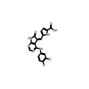 O=C1Nc2ncnc(Nc3ccc(F)c(Cl)c3)c2C1=Cc1ccc(C(=O)O)[nH]1